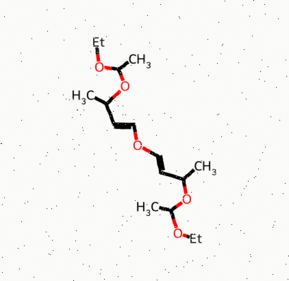 CCOC(C)OC(C)C=COC=CC(C)OC(C)OCC